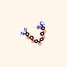 [C-]#[N+]c1ccc(Oc2cccc(Oc3ccc(C(=O)c4ccc(Oc5cccc(Oc6ccc(C#N)c(C#N)c6)c5)cc4)cc3)c2)cc1[N+]#[C-]